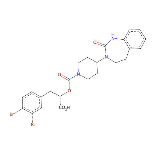 O=C(O)C(Cc1ccc(Br)c(Br)c1)OC(=O)N1CCC(N2CCc3ccccc3NC2=O)CC1